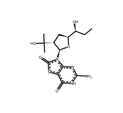 CC[C@H](O)[C@@H]1C[C@@H](C(C)(C)O)[C@H](n2c(=O)sc3c(=O)[nH]c(N)nc32)O1